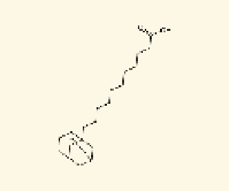 O=C(O)CCCCCCCCCCC12CC3CC(CC(C3)C1)C2